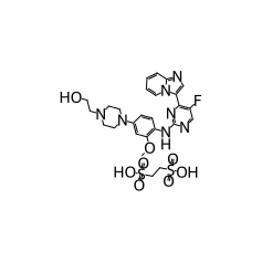 COc1cc(N2CCN(CCO)CC2)ccc1Nc1ncc(F)c(-c2cnc3ccccn23)n1.O=S(=O)(O)CCS(=O)(=O)O